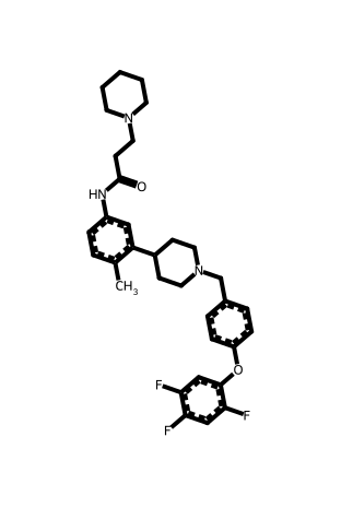 Cc1ccc(NC(=O)CCN2CCCCC2)cc1C1CCN(Cc2ccc(Oc3cc(F)c(F)cc3F)cc2)CC1